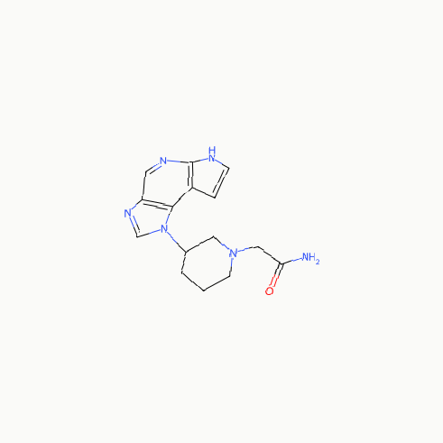 NC(=O)CN1CCCC(n2cnc3cnc4[nH]ccc4c32)C1